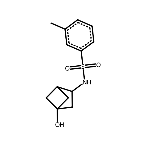 Cc1cccc(S(=O)(=O)NC2CC3(O)CC2C3)c1